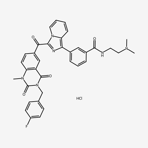 CN(C)CCNC(=O)c1cccc(-c2nc(C(=O)c3ccc4c(c3)c(=O)n(Cc3ccc(F)cc3)c(=O)n4C)n3ccccc23)c1.Cl